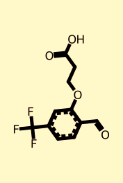 O=Cc1ccc(C(F)(F)F)cc1OCCC(=O)O